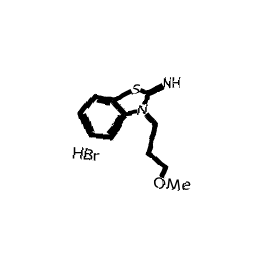 Br.COCCCn1c(=N)sc2ccccc21